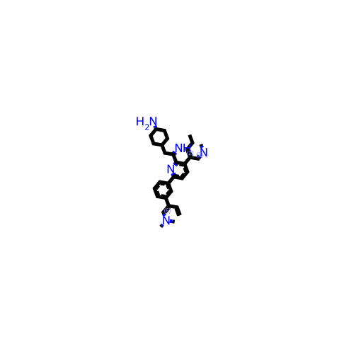 C=C/C(=C\N(C)C)c1cccc(-c2ccc(C(/C=N\C)=C/CC)c(C(=N)CC3CCC(N)CC3)n2)c1